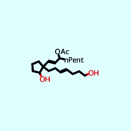 CCCCCC(C=CC1(CCC=CCCCO)CCCC1O)OC(C)=O